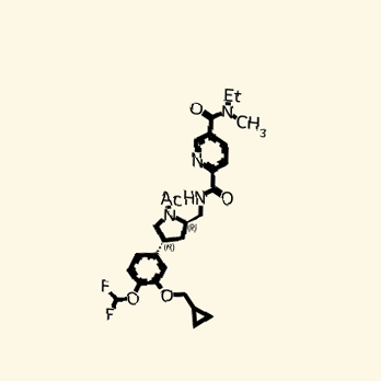 CCN(C)C(=O)c1ccc(C(=O)NC[C@H]2C[C@H](c3ccc(OC(F)F)c(OCC4CC4)c3)CN2C(C)=O)nc1